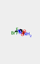 NS(=O)(=O)c1ccn(C(F)(F)CBr)n1